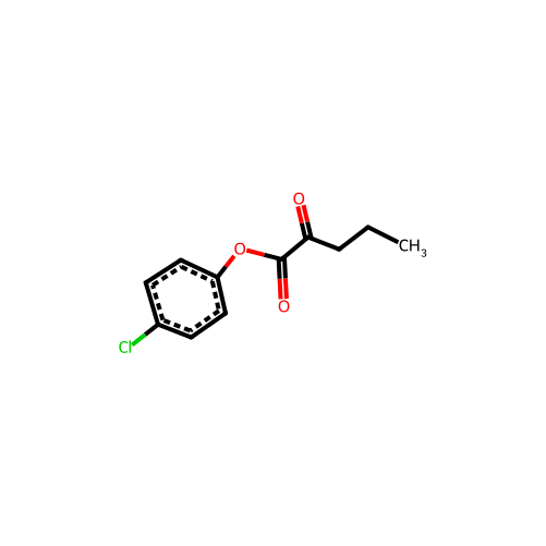 CCCC(=O)C(=O)Oc1ccc(Cl)cc1